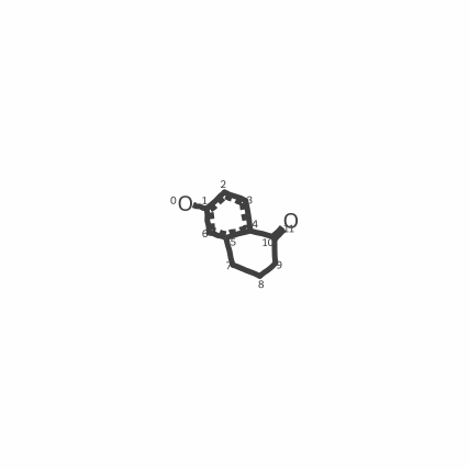 [O]c1ccc2c(c1)CCCC2=O